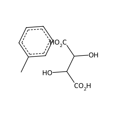 Cc1ccccc1.O=C(O)C(O)C(O)C(=O)O